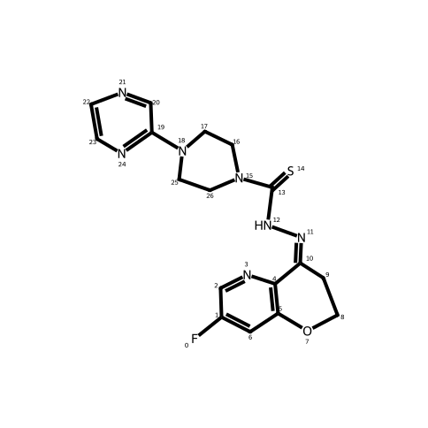 Fc1cnc2c(c1)OCC/C2=N/NC(=S)N1CCN(c2cnccn2)CC1